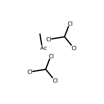 CC(C)=O.ClC(Cl)Cl.ClC(Cl)Cl